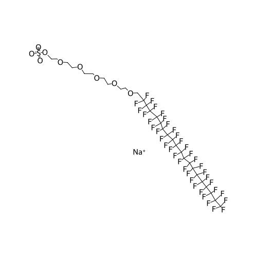 O=S(=O)([O-])OCCOCCOCCOCCOCCOCC(F)(F)C(F)(F)C(F)(F)C(F)(F)C(F)(F)C(F)(F)C(F)(F)C(F)(F)C(F)(F)C(F)(F)C(F)(F)C(F)(F)C(F)(F)C(F)(F)C(F)(F)C(F)(F)C(F)(F)C(F)(F)C(F)(F)F.[Na+]